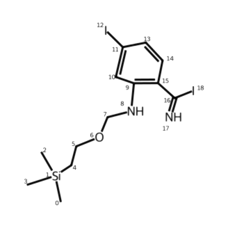 C[Si](C)(C)CCOCNc1cc(I)ccc1C(=N)I